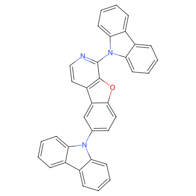 c1ccc2c(c1)c1ccccc1n2-c1ccc2oc3c(-n4c5ccccc5c5ccccc54)nccc3c2c1